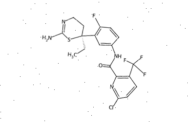 CC[C@@]1(c2cc(NC(=O)c3nc(Cl)ccc3C(F)(F)F)ccc2F)CCN=C(N)S1